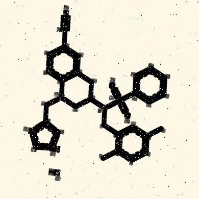 Cc1ccc(C)c(CN(C2Cc3cc(C#N)ccc3N(Cc3c[nH]cn3)C2)S(=O)(=O)c2ccccc2)c1.Cl